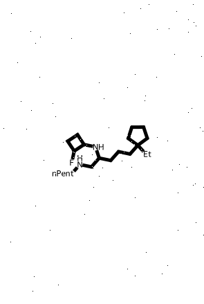 CCCCCNCC(CCCC1(CC)CCCC1)NC1CCC1F